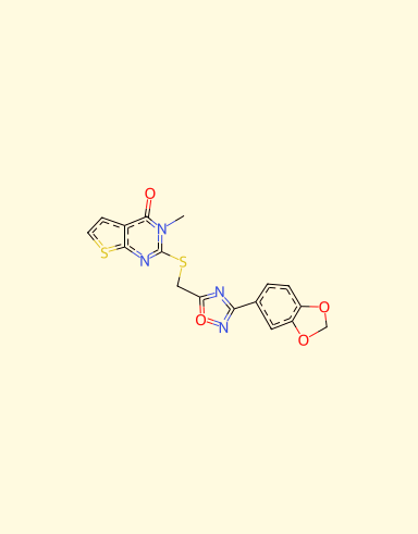 Cn1c(SCc2nc(-c3ccc4c(c3)OCO4)no2)nc2sccc2c1=O